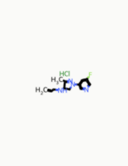 C=CCNC1CN(c2cncc(F)c2)N=C1C.Cl